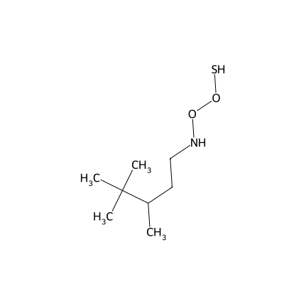 CC(CCNOOS)C(C)(C)C